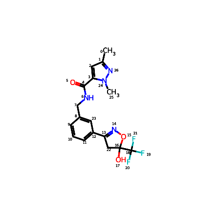 Cc1cc(C(=O)NCc2cccc(C3=NOC(O)(C(F)(F)F)C3)c2)n(C)n1